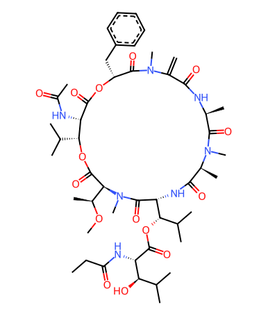 C=C1C(=O)N[C@@H](C)C(=O)N(C)[C@@H](C)C(=O)N[C@H]([C@@H](OC(=O)[C@@H](NC(=O)CC)[C@H](O)C(C)C)C(C)C)C(=O)N(C)[C@@H]([C@H](C)OC)C(=O)O[C@H](C(C)C)[C@H](NC(C)=O)C(=O)O[C@H](Cc2ccccc2)C(=O)N1C